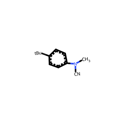 CN(C#N)c1ccc(C(C)(C)C)cc1